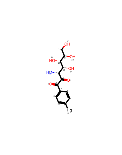 N[C@@H](C(=O)C(=O)c1cc[c]([Hg])cc1)[C@@H](O)[C@H](O)[C@H](O)CO